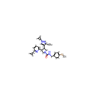 CCSc1ccc(CNC(=O)N2CC(c3cccc(C4CC4)n3)C(c3cn(C4CC4)nc3C(C)(C)C)C2)cc1